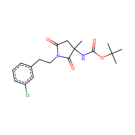 CC(C)(C)OC(=O)NC1(C)CC(=O)N(CCc2cccc(Cl)c2)C1=O